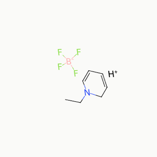 CCN1C=CC=CC1.F[B-](F)(F)F.[H+]